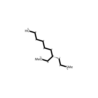 [CH2]SCC[C@@H](CCCCCO)COC